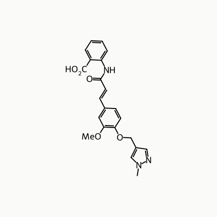 COc1cc(C=CC(=O)Nc2ccccc2C(=O)O)ccc1OCc1cnn(C)c1